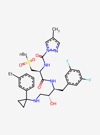 CCCCS(=O)(=O)C[C@@H](NC(=O)n1cc(C)cn1)C(=O)N[C@@H](Cc1cc(F)cc(F)c1)[C@H](O)CNC1(c2cccc(CC)c2)CC1